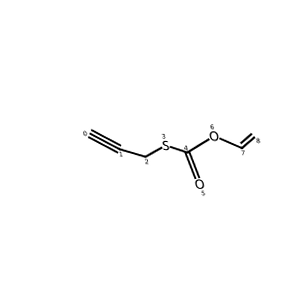 C#CCSC(=O)OC=C